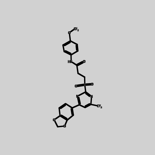 O=C(CCS(=O)(=O)c1nc(-c2ccc3c(c2)OCO3)cc(C(F)(F)F)n1)Nc1ccc(OC(F)(F)F)cc1